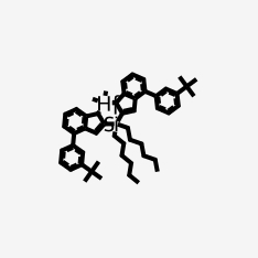 CCCCCC[Si]1(CCCCCC)C2=Cc3c(-c4cccc(C(C)(C)C)c4)cccc3[CH]2[Hf]([CH3])([CH3])[CH]2C1=Cc1c(-c3cccc(C(C)(C)C)c3)cccc12